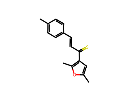 Cc1ccc(C=CC(=S)c2cc(C)oc2C)cc1